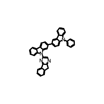 c1ccc(-n2c3ccccc3c3cc(-c4ccc5c6ccccc6n(-c6cnc7c(n6)-c6ccccc6C7)c5c4)ccc32)cc1